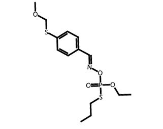 CCCSP(=O)(OCC)ON=Cc1ccc(SCOC)cc1